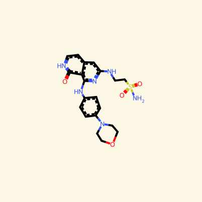 NS(=O)(=O)CCNc1cc2cc[nH]c(=O)c2c(Nc2ccc(N3CCOCC3)cc2)n1